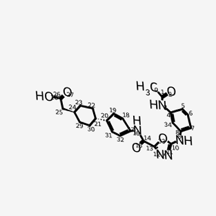 CC(=O)Nc1cccc(Nc2nnc(C(=O)Nc3ccc([C@H]4CC[C@H](CC(=O)O)CC4)cc3)o2)c1